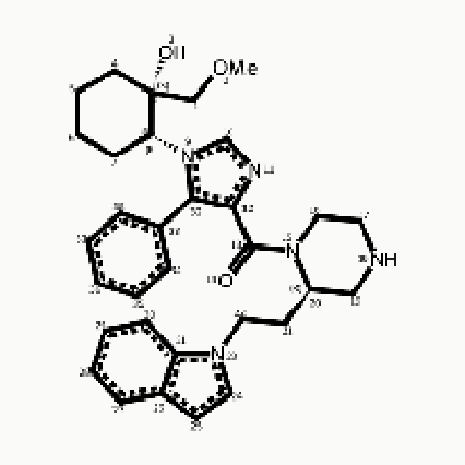 COC[C@]1(O)CCCC[C@H]1n1cnc(C(=O)N2CCNC[C@H]2CCn2ccc3ccccc32)c1-c1ccccc1